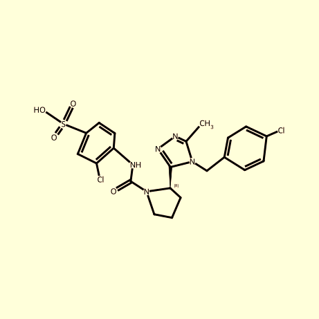 Cc1nnc([C@H]2CCCN2C(=O)Nc2ccc(S(=O)(=O)O)cc2Cl)n1Cc1ccc(Cl)cc1